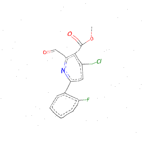 COC(=O)c1c(Cl)cc(-c2ccccc2F)nc1C=O